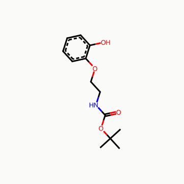 CC(C)(C)OC(=O)NCCOc1ccccc1O